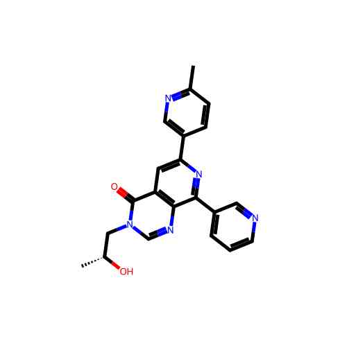 Cc1ccc(-c2cc3c(=O)n(C[C@@H](C)O)cnc3c(-c3cccnc3)n2)cn1